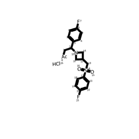 CC(=O)CC(c1ccc(F)cc1)N1CC(CS(=O)(=O)c2ccc(F)cc2)C1.Cl